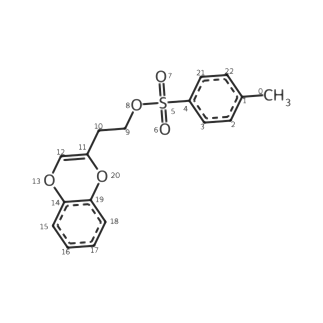 Cc1ccc(S(=O)(=O)OCCC2=COc3ccccc3O2)cc1